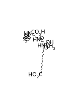 C=C(O)[C@H](CCC(=O)NCCCC[C@H](NC1SSC2(SS1)SS2)C(=O)O)NC(=O)CCCCCCCCCCCCCCC(=O)O